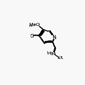 CCNCc1cc(Cl)c(OC)cn1